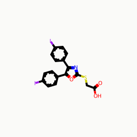 O=C(O)CSc1nc(-c2ccc(I)cc2)c(-c2ccc(I)cc2)o1